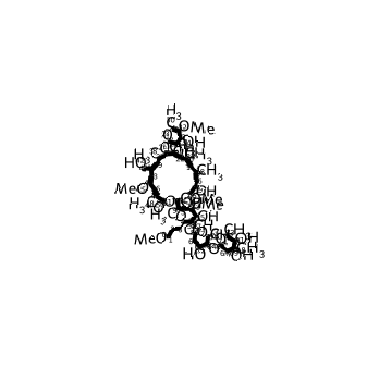 COCCC[C@H]1O[C@@](O)([C@H](C)C2CC(OC)C(O)\C=C(C)/C=C(C)/C=C(\C)C(O[C@H]3O[C@H](C)[C@@H](OC)[C@H](O)[C@H]3O)C(C)/C=C(CO)/C=C(OC)/C=C(\C)C(=O)O2)[C@H](OC)[C@@H](O)[C@]1(C)O[C@H]1C[C@H](O)[C@H](O[C@H]2C[C@@](C)(O)[C@H](O)[C@@H](C)O2)[C@@H](C)O1